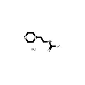 CCCC(=O)NCCN1CCOCC1.Cl